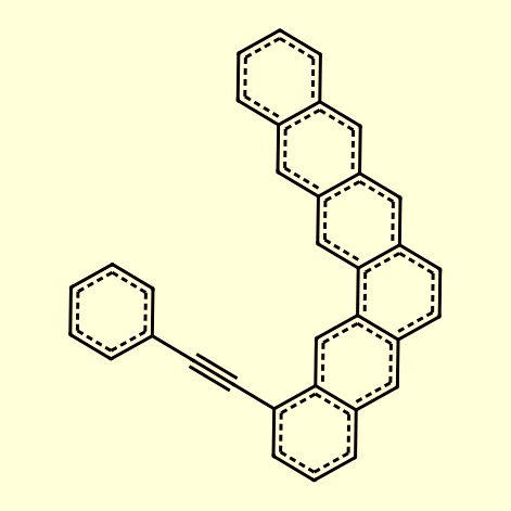 C(#Cc1cccc2cc3ccc4cc5cc6ccccc6cc5cc4c3cc12)c1ccccc1